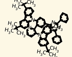 Cc1ccc2c(c1)c1cc(C(C)(C)C)ccc1n2-c1cccnc1-c1cc(-c2nc(-c3ccccc3)nc(-c3ccccc3)n2)ccc1-n1c2ccc(C(C)(C)C)cc2c2cc(C(C)(C)C)ccc21